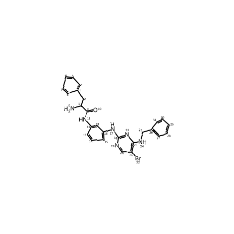 NC(Cc1ccccc1)C(=O)Nc1cccc(Nc2ncc(Br)c(NCc3ccccc3)n2)c1